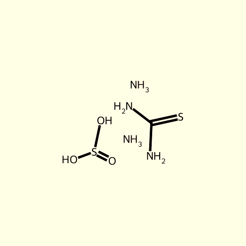 N.N.NC(N)=S.O=S(O)O